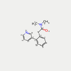 CN(C)C(=O)Cc1ccccc1-c1[c]nccc1